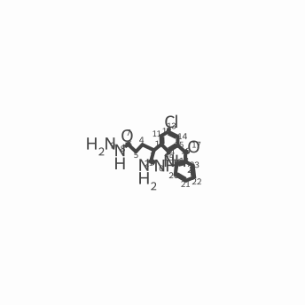 N=C(N)C(CCC(=O)NN)c1cc(Cl)cc(C(=O)c2ccccc2)c1N